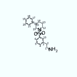 NCCc1cccc(S(=O)(=O)N2C[CH]C[C@@H](c3ccccc3)C2)c1